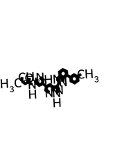 Cc1cccc(-c2cccc3[nH]c(-c4n[nH]c5ncc(-c6cncc(NC(=O)CC(C)C)c6)cc45)nc23)c1